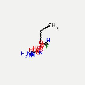 CCCCCCCC/C=C\CCCCCCCCOC[C@H](COP(=O)(O)OC[C@@H](OC#N)[C@@H](O)Cc1ccc2c(N)ncnn12)OCc1cc(F)cc(C#N)c1